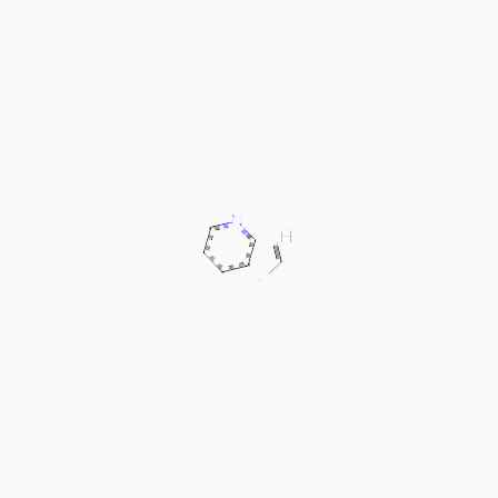 C=[CH][K].c1ccncc1